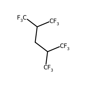 FC(F)(F)C(CC(C(F)(F)F)C(F)(F)F)C(F)(F)F